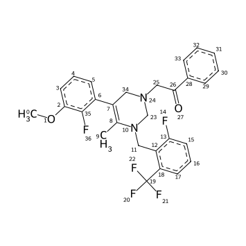 COc1cccc(C2=C(C)N(Cc3c(F)cccc3C(F)(F)F)CN(CC(=O)c3ccccc3)C2)c1F